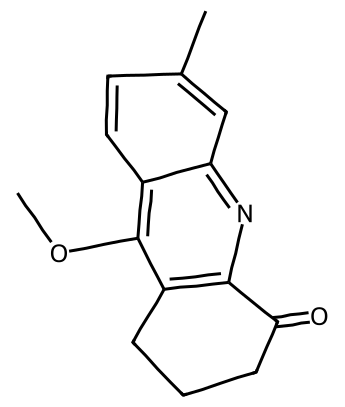 COc1c2c(nc3cc(C)ccc13)C(=O)CCC2